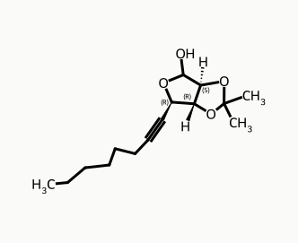 CCCCCCC#C[C@H]1OC(O)[C@H]2OC(C)(C)O[C@@H]21